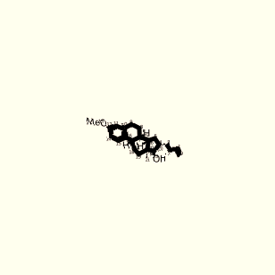 C=CCC[C@H]1C[C@H]2[C@@H]3CCc4cc(OC)ccc4[C@H]3CC[C@]2(C)[C@H]1O